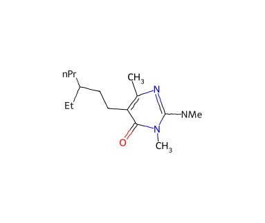 CCCC(CC)CCc1c(C)nc(NC)n(C)c1=O